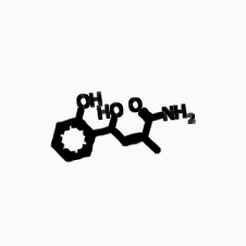 CC(=CC(O)c1ccccc1O)C(N)=O